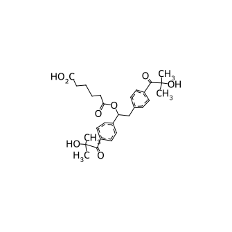 CC(C)(O)C(=O)c1ccc(CC(OC(=O)CCCCC(=O)O)c2ccc(C(=O)C(C)(C)O)cc2)cc1